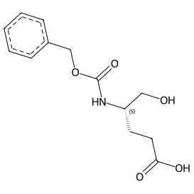 O=C(O)CC[C@@H](CO)NC(=O)OCc1ccccc1